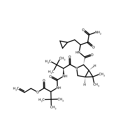 C=CCOC(=O)C(NC(=O)N[C@H](C(=O)N1C[C@H]2[C@@H]([C@H]1C(=O)NC(CC1CC1)C(=O)C(N)=O)C2(C)C)C(C)(C)C)C(C)(C)C